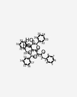 O=C(Cc1ccccc1)[C@H](OCc1ccccc1)[C@@H](OCc1ccccc1)[C@H](OCc1ccccc1)[C@H](O)CO